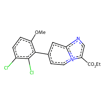 CCOC(=O)c1cnc2cc(-c3c(OC)ccc(Cl)c3Cl)ccn12